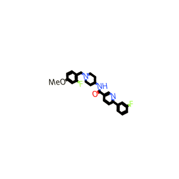 COc1ccc(CN2CCC(NC(=O)c3ccc(-c4cccc(F)c4)nc3)CC2)c(F)c1